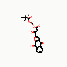 CC(C)(N=O)C(=O)OCOC(=O)CC(=O)c1cc2c(o1)C(=O)c1ccccc1C2=O